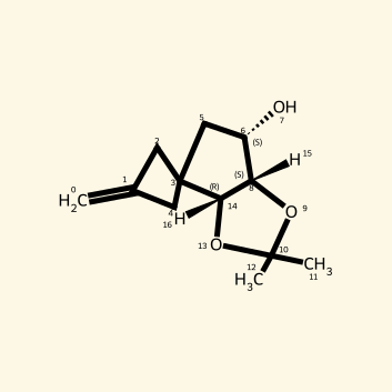 C=C1CC2(C1)C[C@H](O)[C@@H]1OC(C)(C)O[C@@H]12